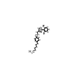 CCCCCCc1ccc(OCCC2COC(c3c(F)cccc3F)=N2)cc1